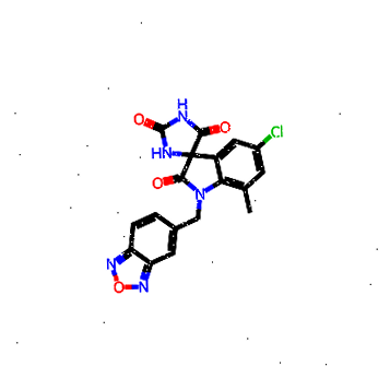 Cc1cc(Cl)cc2c1N(Cc1ccc3nonc3c1)C(=O)C21NC(=O)NC1=O